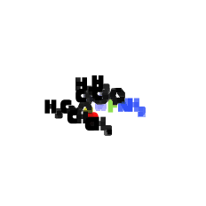 C/C=C(/C/C=C\C(=C/C)c1cccc(N)c1F)C(CCC(C)CC)CSOC